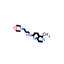 Cc1nccc2nc(NCCCN3CCOCC3)ccc12